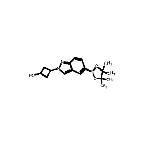 CC1(C)OB(c2ccc3nn(C4CC(O)C4)cc3c2)OC1(C)C